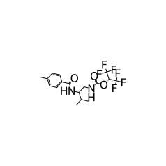 Cc1ccc(C(=O)NC(CNC(=O)OC(C(F)(F)F)C(F)(F)F)C(C)C)cc1